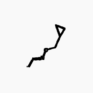 [CH2]C=NOCC1CC1